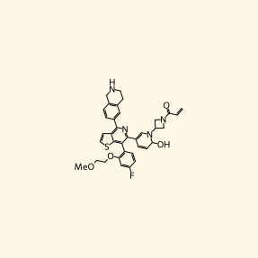 C=CC(=O)N1CC(N2C=C(c3nc(-c4ccc5c(c4)CCNC5)c4ccsc4c3-c3ccc(F)cc3OCCOC)C=CC2O)C1